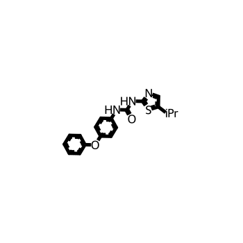 CC(C)c1cnc(NC(=O)Nc2ccc(Oc3ccccc3)cc2)s1